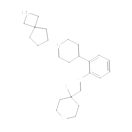 FC1(COc2ccccc2C2CCN([C@@H]3CCC4(CNC4)C3)CC2)CCOCC1